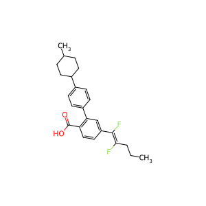 CCC/C(F)=C(\F)c1ccc(C(=O)O)c(-c2ccc(C3CCC(C)CC3)cc2)c1